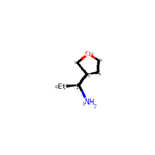 CC[C@H](N)[C@@H]1CCOC1